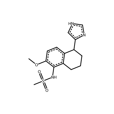 COc1ccc2c(c1NS(C)(=O)=O)CCCC2c1c[nH]cn1